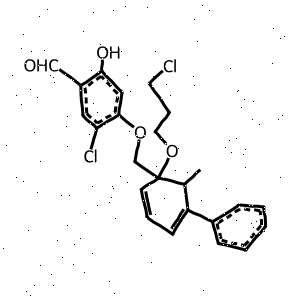 CC1C(c2ccccc2)=CC=CC1(COc1cc(O)c(C=O)cc1Cl)OCCCCl